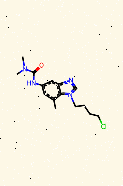 Cc1cc(NC(=O)N(C)C)cc2ncn(CCCCCl)c12